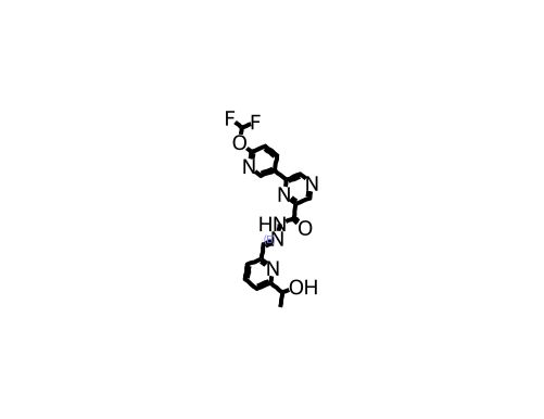 CC(O)c1cccc(/C=N/NC(=O)c2cncc(-c3ccc(OC(F)F)nc3)n2)n1